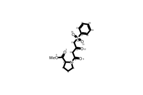 COC(=O)C1CCCN1C(=O)CC(=O)CS(=O)(=O)c1ccccc1